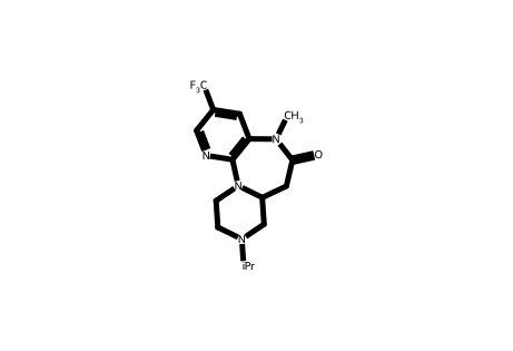 CC(C)N1CCN2c3ncc(C(F)(F)F)cc3N(C)C(=O)CC2C1